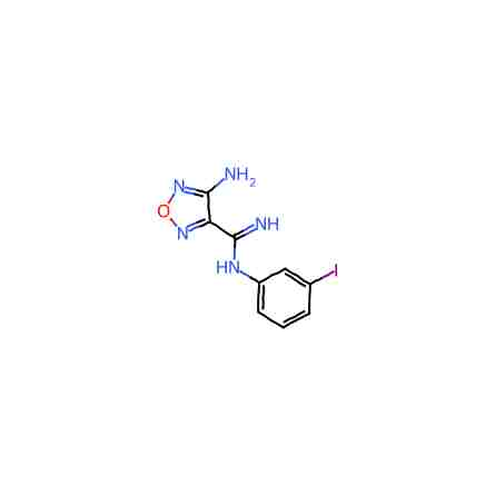 N=C(Nc1cccc(I)c1)c1nonc1N